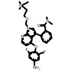 CN(C)C(=O)c1ccccc1-c1cn(COCC[Si](C)(C)C)c2nccc(Oc3c(F)cc(N)cc3F)c12